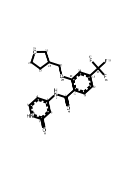 O=C(Nc1cc[nH]c(=O)c1)c1ccc(C(F)(F)F)cc1OCC1CCOC1